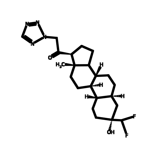 C[C@]12CC[C@@H]3[C@H]4CC[C@](O)(C(F)F)C[C@@H]4CC[C@H]3C1CC[C@@H]2C(=O)Cn1ncnn1